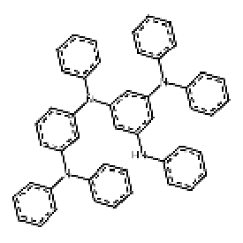 c1ccc(Nc2cc(N(c3ccccc3)c3ccccc3)cc(N(c3ccccc3)c3cccc(N(c4ccccc4)c4ccccc4)c3)c2)cc1